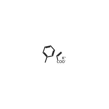 C=CC(=O)[O-].Cc1ccccc1.[K+]